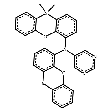 C[Si]1(C)c2ccccc2Oc2c(N(c3cncnc3)c3cccc4c3Oc3ccccc3S4)cccc21